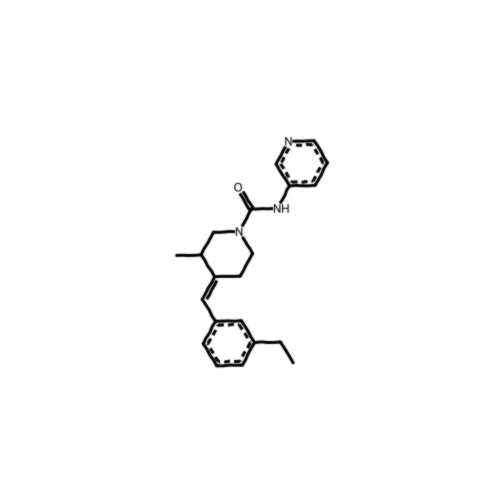 CCc1cccc(C=C2CCN(C(=O)Nc3cccnc3)CC2C)c1